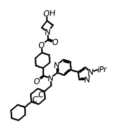 CC(C)n1cc(-c2ccnc(N(CC34CCC(C5CCCCC5)(CC3)CC4)C(=O)C3CCC(OC(=O)N4CC(O)C4)CC3)c2)cn1